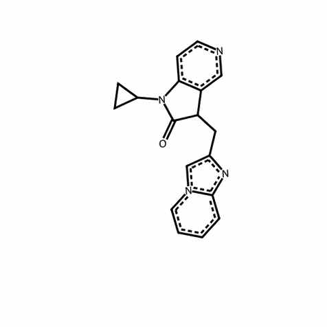 O=C1C(Cc2cn3ccccc3n2)c2cnccc2N1C1CC1